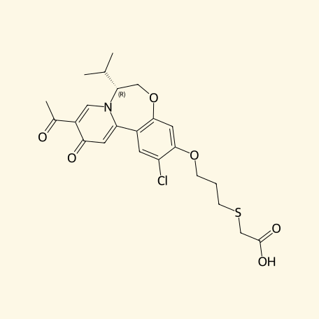 CC(=O)c1cn2c(cc1=O)-c1cc(Cl)c(OCCCSCC(=O)O)cc1OC[C@H]2C(C)C